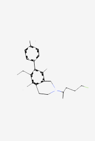 Cc1ccc(-c2c(C)c3c(c(C)c2CC(=O)O)CCN(C(C)CCCF)C3)cc1